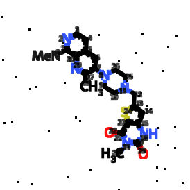 CNc1nccc2cc(N3CCN(Cc4cc5[nH]c(=O)n(C)c(=O)c5s4)CC3)c(C)nc12